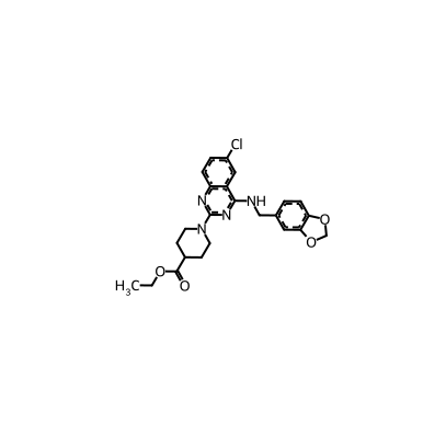 CCOC(=O)C1CCN(c2nc(NCc3ccc4c(c3)OCO4)c3cc(Cl)ccc3n2)CC1